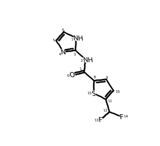 O=C(Nc1ncc[nH]1)c1ccc(C(F)F)s1